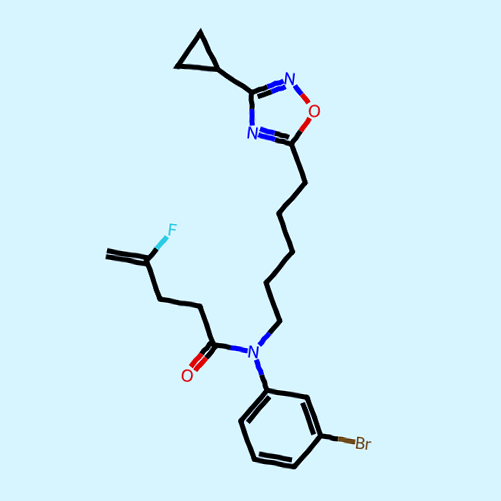 C=C(F)CCC(=O)N(CCCCCc1nc(C2CC2)no1)c1cccc(Br)c1